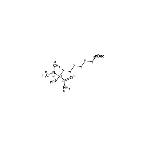 CCCCCCCCCCCCCCCCC(CCC)(C(N)=O)N(C)C